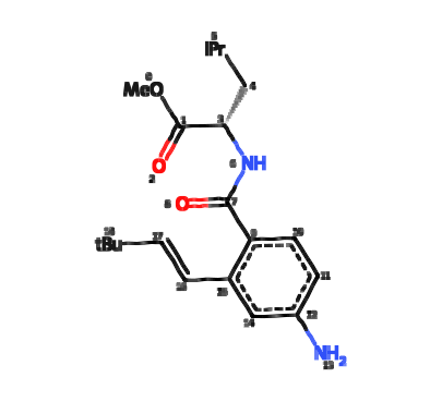 COC(=O)[C@H](CC(C)C)NC(=O)c1ccc(N)cc1C=CC(C)(C)C